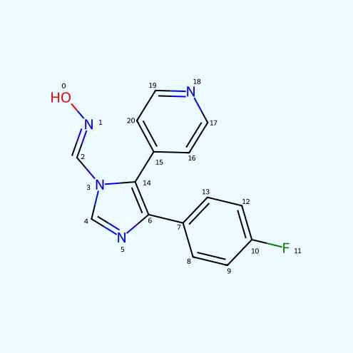 ON=Cn1cnc(-c2ccc(F)cc2)c1-c1ccncc1